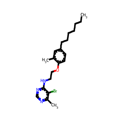 CCCCCCCc1ccc(OCCNc2ncnc(C)c2Br)c(C)c1